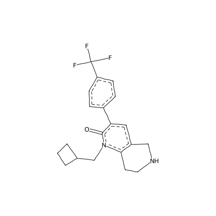 O=c1c(-c2ccc(C(F)(F)F)cc2)cc2c(n1CC1CCC1)CCNC2